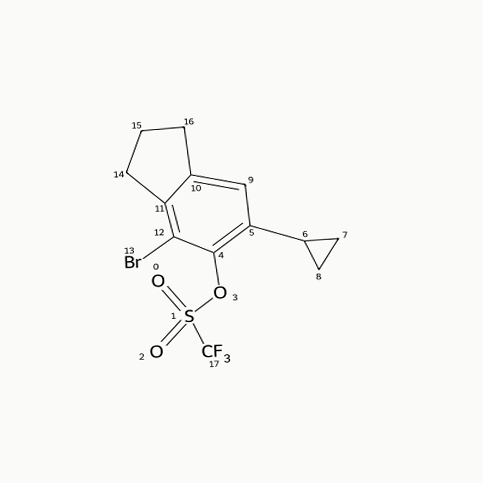 O=S(=O)(Oc1c(C2CC2)cc2c(c1Br)CCC2)C(F)(F)F